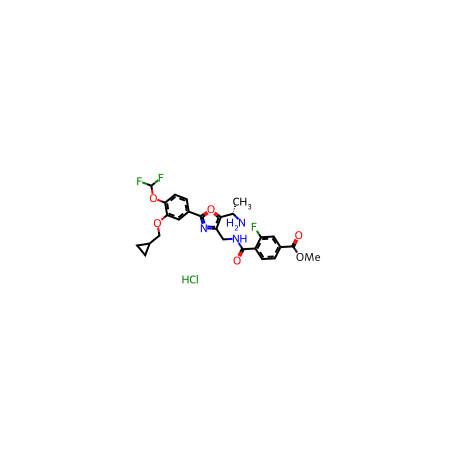 COC(=O)c1ccc(C(=O)NCc2nc(-c3ccc(OC(F)F)c(OCC4CC4)c3)oc2[C@H](C)N)c(F)c1.Cl